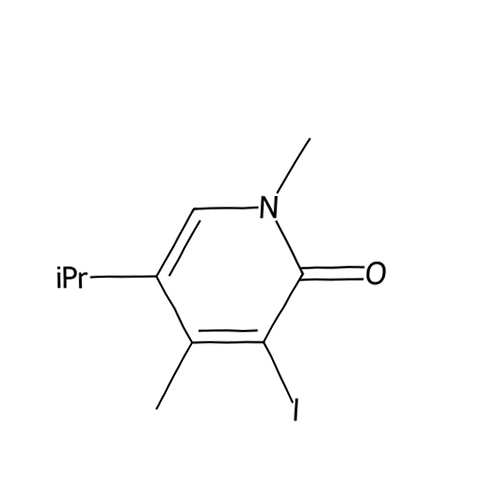 Cc1c(C(C)C)cn(C)c(=O)c1I